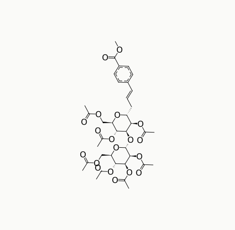 COC(=O)c1ccc(C=CC[C@H]2O[C@H](COC(C)=O)[C@@H](OC(C)=O)[C@H](O[C@H]3O[C@H](COC(C)=O)[C@@H](OC(C)=O)[C@H](OC(C)=O)[C@@H]3OC(C)=O)[C@@H]2OC(C)=O)cc1